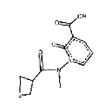 CN(C(=O)C1CSC1)n1cccc(C(=O)O)c1=O